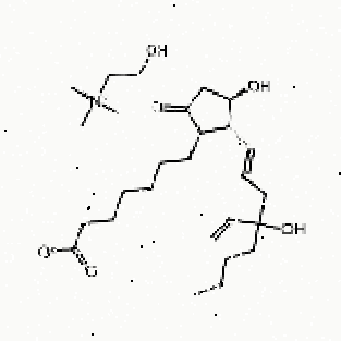 C=CC(O)(C/C=C/[C@H]1[C@H](O)CC(=O)[C@@H]1CCCCCCC(=O)[O-])CCCC.C[N+](C)(C)CCO